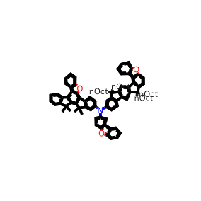 CCCCCCCCC1(CCCCCCCC)c2cc(N(c3ccc4c(c3)C(C)(C)c3c5c(c6c(oc7ccccc76)c3-4)-c3ccccc3C5(C)C)c3ccc4oc5ccccc5c4c3)ccc2-c2cc3c(cc21)-c1c(ccc2oc4ccccc4c12)C3(CCCCCCCC)CCCCCCCC